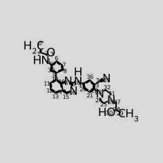 C=CC(=O)Nc1cccc(-c2cccc3cnc(Nc4ccc(N5CCN(CC(C)O)CC5)c(C#N)c4)nc23)c1